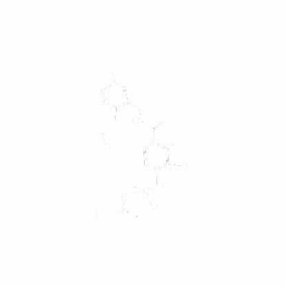 CCSc1ccc(Cl)cc1CNC(=O)c1ccc(CN2CCN(C)CC2)c(Cl)c1